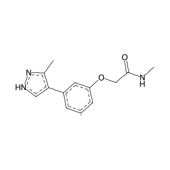 CNC(=O)COc1c[c]cc(-c2c[nH]nc2C)c1